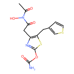 CC(=O)N(O)C(=O)Cc1nc(OC(N)=O)sc1Cc1ccsc1